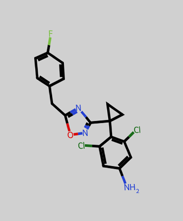 Nc1cc(Cl)c(C2(c3noc(Cc4ccc(F)cc4)n3)CC2)c(Cl)c1